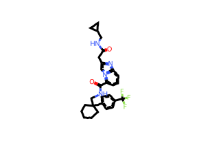 O=C(Cc1cn2c(C(=O)NCC3(c4ccc(C(F)(F)F)cc4)CCCCC3)cccc2n1)NCC1CC1